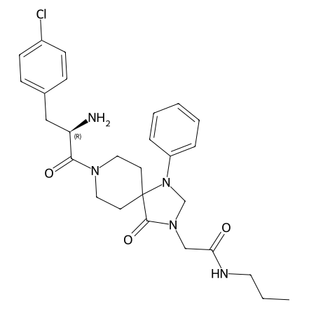 CCCNC(=O)CN1CN(c2ccccc2)C2(CCN(C(=O)[C@H](N)Cc3ccc(Cl)cc3)CC2)C1=O